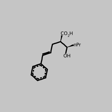 CCC[C@@H](O)[C@@H](C/C=C/c1ccccc1)C(=O)O